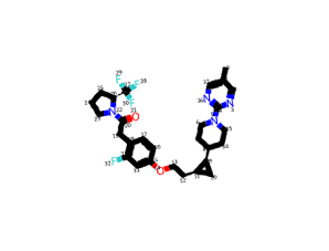 Cc1cnc(N2CCC([C@H]3C[C@H]3CCOc3ccc(CC(=O)N4CCC[C@@H]4C(F)(F)F)c(F)c3)CC2)nc1